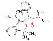 CC(C)B1c2ccccc2C(C)(C)c2oc(C(C)C)c(-c3ccccc3)c21